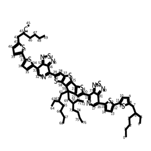 CCCCC(CC)Cc1ccc(-c2ccc(-c3cnc(-c4cc5c(s4)-c4sc6cc(-c7ncc(-c8ccc(-c9ccc(CC(CC)CCCC)s9)s8)c8nsnc78)sc6c4C5(CC(CC)CCCC)CC(CC)CCCC)c4nsnc34)s2)s1